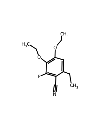 CCOc1cc(CC)c(C#N)c(F)c1OCC